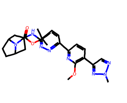 COc1nc(-c2ccc(NC3CC4CCC(C3)N4C(=O)OC(C)(C)C)nn2)ccc1-c1cnn(C)n1